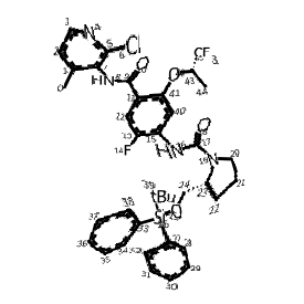 Cc1ccnc(Cl)c1NC(=O)c1cc(F)c(NC(=O)N2CCC[C@@H]2CO[Si](c2ccccc2)(c2ccccc2)C(C)(C)C)cc1O[C@@H](C)C(F)(F)F